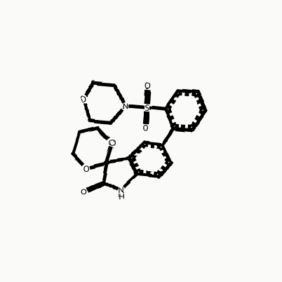 O=C1Nc2ccc(-c3ccccc3S(=O)(=O)N3CCOCC3)cc2C12OCCCO2